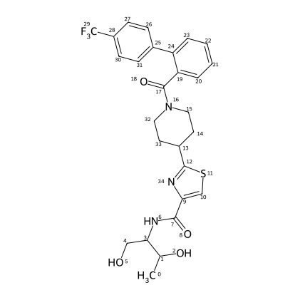 CC(O)C(CO)NC(=O)c1csc(C2CCN(C(=O)c3ccccc3-c3ccc(C(F)(F)F)cc3)CC2)n1